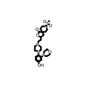 CS(=O)(=O)N1CCC2(CC1)CC(CCN1CCN(c3ccc(O)cc3N3CCOCC3)CC1)OC2=O